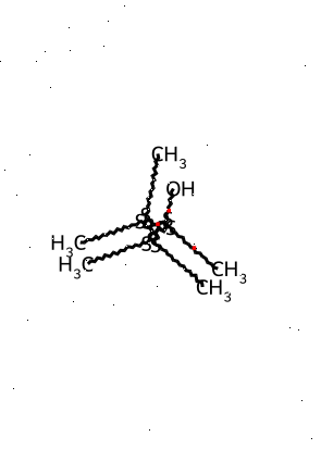 CCCCCCCCCCCCCCCCSc1cc2c(cc1SCCCCCCCO)c1cc(SCCCCCCCCCCCCCCCC)c(SCCCCCCCCCCCCCCCC)cc1c1cc(SCCCCCCCCCCCCCCCC)c(SCCCCCCCCCCCCCCCC)cc21